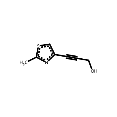 Cc1nc(C#CCO)cs1